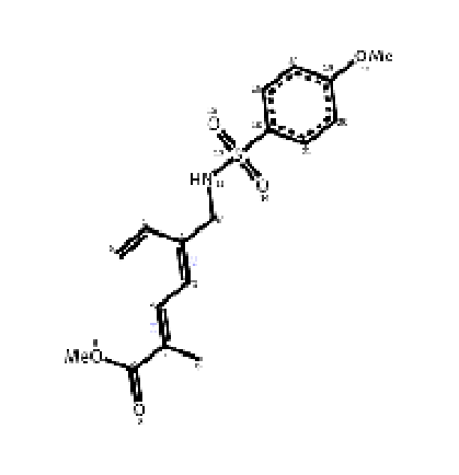 C=C/C(=C\C=C(/C)C(=O)OC)CNS(=O)(=O)c1ccc(OC)cc1